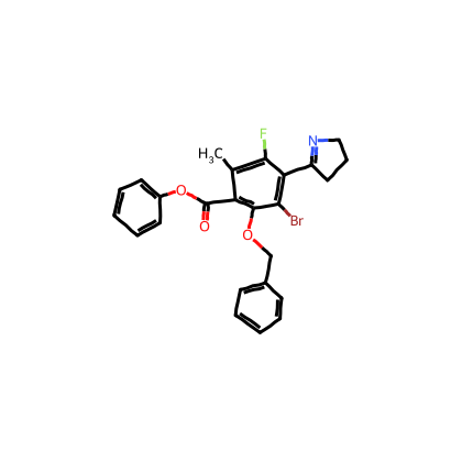 Cc1c(F)c(C2=NCCC2)c(Br)c(OCc2ccccc2)c1C(=O)Oc1ccccc1